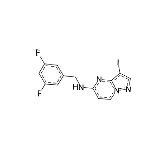 Fc1cc(F)cc(CNc2ccn3ncc(I)c3n2)c1